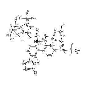 CC(C)(O)C#Cc1ccc(-c2cccc3c2oc2c(Cl)n[nH]c23)c([C@H](Cc2cc(F)cc(F)c2)NC(=O)Cn2nc(C(F)(F)F)c3c2C(F)(F)[C@@H]2C[C@H]32)n1